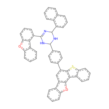 c1ccc2c(C3N=C(c4cccc5oc6ccccc6c45)NC(c4ccc(-c5cc6c7ccccc7oc6c6c5sc5ccccc56)cc4)N3)cccc2c1